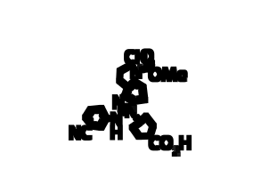 COC(=O)N1c2ccc3c(nc(Nc4cccc(C#N)c4)n3C3CCC(C(=O)O)CC3)c2CCC1C